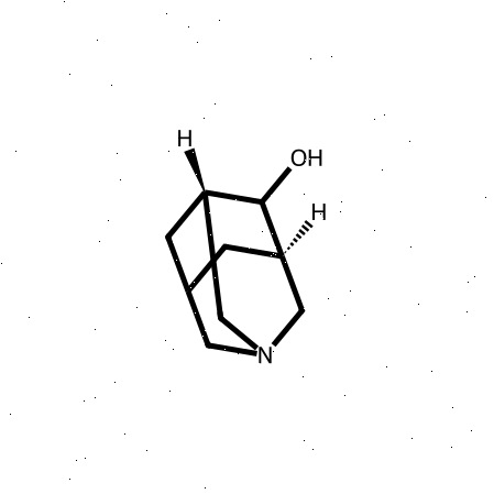 OC1[C@@H]2CC3C[C@H]1CN(C3)C2